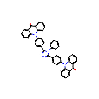 O=c1c2ccccc2n(-c2ccc(-c3nnc(-c4ccc(-n5c6ccccc6c(=O)c6ccccc65)cc4)n3-c3ccccc3)cc2)c2ccccc12